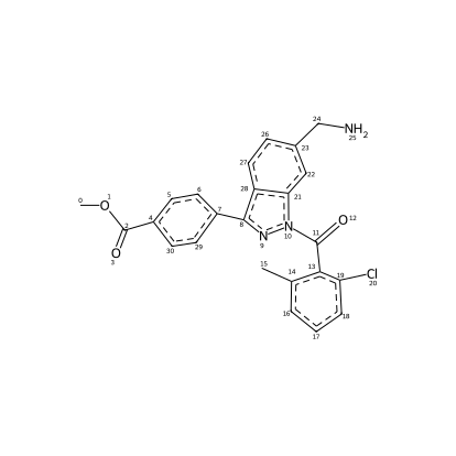 COC(=O)c1ccc(-c2nn(C(=O)c3c(C)cccc3Cl)c3cc(CN)ccc23)cc1